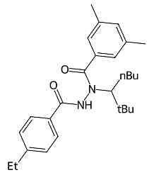 CCCCC(N(NC(=O)c1ccc(CC)cc1)C(=O)c1cc(C)cc(C)c1)C(C)(C)C